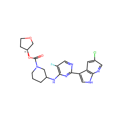 O=C(O[C@H]1CCOC1)N1CCCC(Nc2nc(-c3c[nH]c4ncc(Cl)cc34)ncc2F)C1